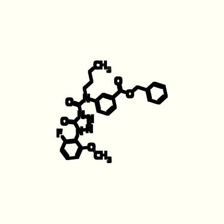 CCCCN(C(=O)n1nnn(-c2c(F)cccc2OC)c1=O)c1cccc(C(=O)OCc2ccccc2)c1